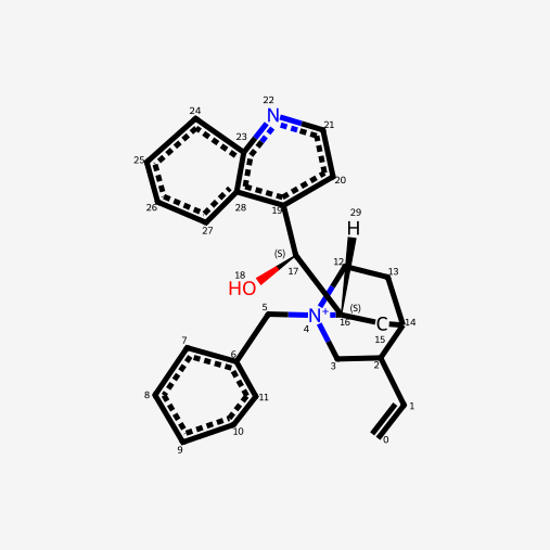 C=CC1C[N+]2(Cc3ccccc3)CCC1C[C@H]2[C@@H](O)c1ccnc2ccccc12